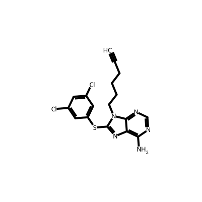 C#CCCCCn1c(Sc2cc(Cl)cc(Cl)c2)nc2c(N)ncnc21